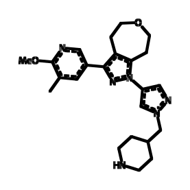 COc1ncc(-c2nn(-c3cnn(CC4CCNCC4)c3)c3c2CCOCC3)cc1C